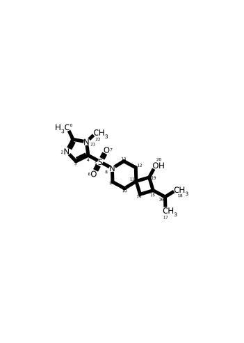 Cc1ncc(S(=O)(=O)N2CCC3(CC2)CC(C(C)C)C3O)n1C